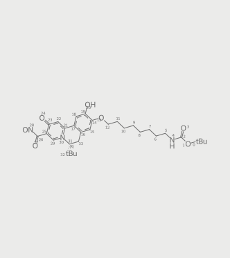 CC(C)(C)OC(=O)NCCCCCCCCOc1cc2c(cc1O)-c1cc(=O)c(C(=O)N=O)cn1[C@@H](C(C)(C)C)C2